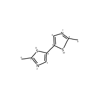 Cc1ncc(-c2cnc(C)s2)s1